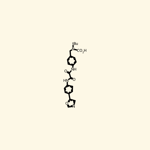 CC(C)(C)N(Cc1ccc(NC(=O)C(=O)Nc2ccc(-c3cnco3)cc2)cc1)C(=O)O